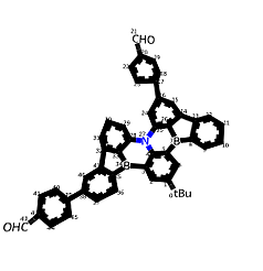 CC(C)(C)c1cc2c3c(c1)B1c4ccccc4-c4cc(-c5ccc(C=O)cc5)cc(c41)N3c1cccc3c1B2c1ccc(-c2ccc(C=O)cc2)cc1-3